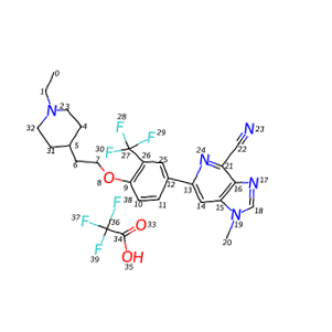 CCN1CCC(CCOc2ccc(-c3cc4c(ncn4C)c(C#N)n3)cc2C(F)(F)F)CC1.O=C(O)C(F)(F)F